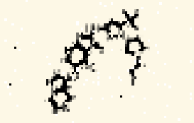 Cn1c(Nc2cc(C(C)(C)C)n([C@@H]3CCN(CCF)C3)n2)nc2ncc(Oc3cnn4ccncc34)c(Cl)c21